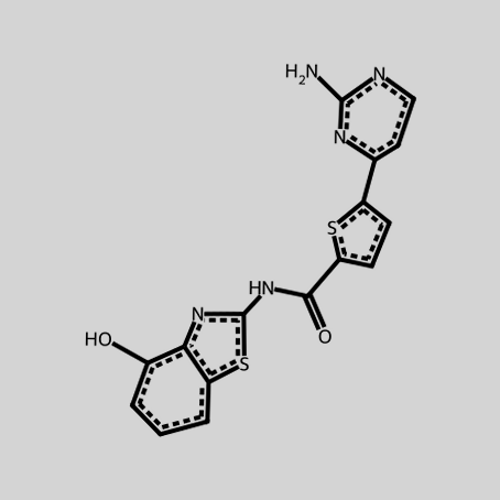 Nc1nccc(-c2ccc(C(=O)Nc3nc4c(O)cccc4s3)s2)n1